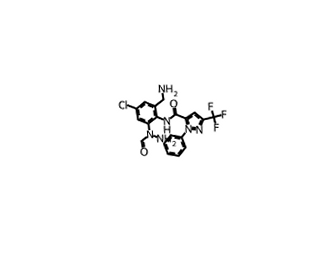 NCc1cc(Cl)cc(N(N)C=O)c1NC(=O)c1cc(C(F)(F)F)nn1-c1ccccc1